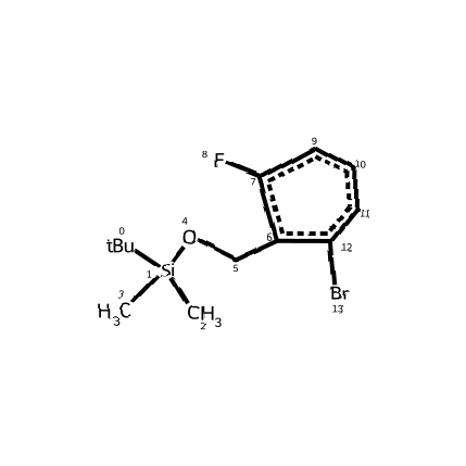 CC(C)(C)[Si](C)(C)OCc1c(F)cccc1Br